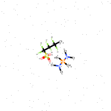 CCCC[P+](C)(N(CC)CC)N(CC)CC.O=S(=O)([O-])C(F)(F)C(F)(F)C(F)(F)C(F)(F)F